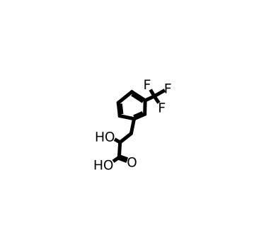 O=C(O)C(O)Cc1cccc(C(F)(F)F)c1